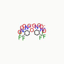 O=[N+]([O-])c1c(Oc2ccc(C(F)(F)F)c([N+](=O)[O-])c2[N+](=O)[O-])ccc(C(F)(F)F)c1[N+](=O)[O-]